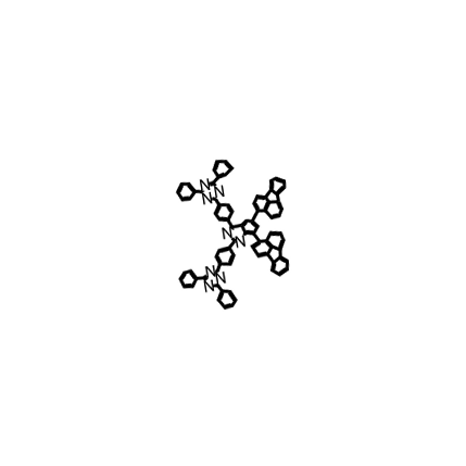 c1ccc(-c2nc(-c3ccccc3)nc(-c3ccc(-c4nc(-c5ccc(-c6nc(-c7ccccc7)nc(-c7ccccc7)n6)cc5)c5cc(-c6ccc7c8c(cccc68)-c6ccccc6-7)cc(-c6ccc7c8c(cccc68)-c6ccccc6-7)c5n4)cc3)n2)cc1